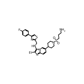 CCc1nc2ccc(C3CCN(S(=O)(=O)CCCN)CC3)cn2c1NCc1nc(-c2ccc(F)cc2)cs1